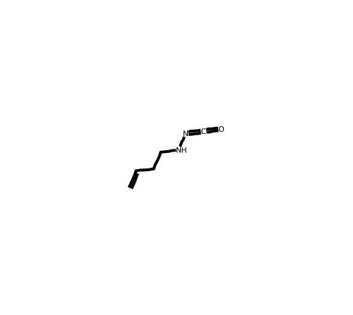 C=CCCNN=C=O